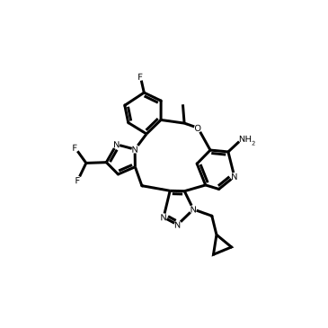 CC1Oc2cc(cnc2N)-c2c(nnn2CC2CC2)Cc2cc(C(F)F)nn2-c2ccc(F)cc21